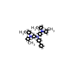 Cc1cccc(N(c2ccc(N(c3ccc(-c4ccccc4)cc3)c3ccc(N(c4cccc(C)c4)c4cccc(C)c4)cc3)cc2)c2cccc(C)c2)c1